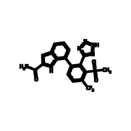 CS(=O)(=O)c1c(C(F)(F)F)ccc(-c2cccc3cc(C(N)=O)[nH]c23)c1-c1nn[nH]n1